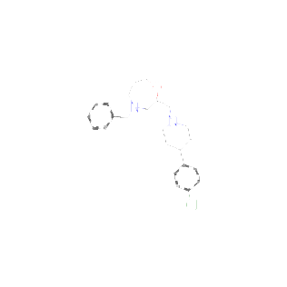 Clc1ccc(C2CCN(CC3CN(Cc4ccccc4)CCCO3)CC2)cc1